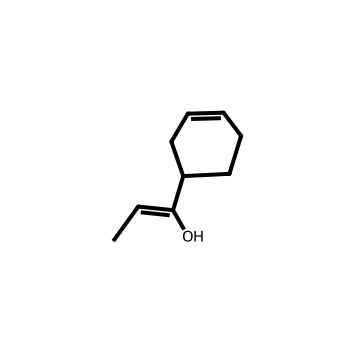 C/C=C(\O)C1CC=CCC1